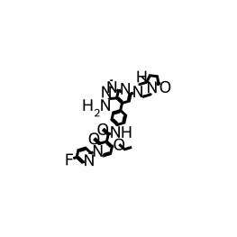 CCOc1ccn(-c2ccc(F)cn2)c(=O)c1C(=O)Nc1ccc(-c2cc(N3CCN4C(=O)CC[C@H]4C3)nc3c2c(N)nn3C)cc1